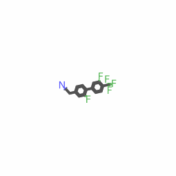 N#CCc1ccc(-c2ccc(C(F)(F)F)c(F)c2)c(F)c1